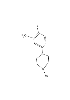 CC(=O)N1CCN(c2ccc(F)c(C)c2)CC1